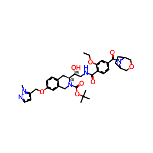 CCOc1cc(C(=O)N2C3CCC2COC3)ccc1C(=O)NC[C@@H](O)[C@@H]1Cc2ccc(OCc3ccnn3C)cc2CN1C(=O)OC(C)(C)C